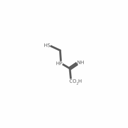 N=C(PCS)C(=O)O